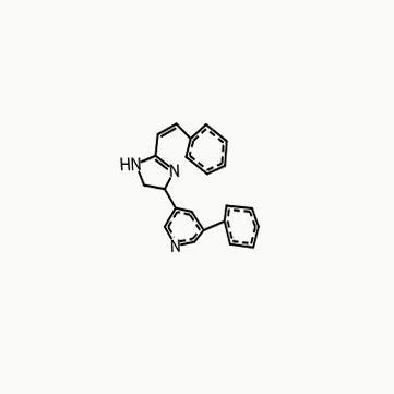 C(=C/c1ccccc1)/C1=NC(c2cncc(-c3ccccc3)c2)CN1